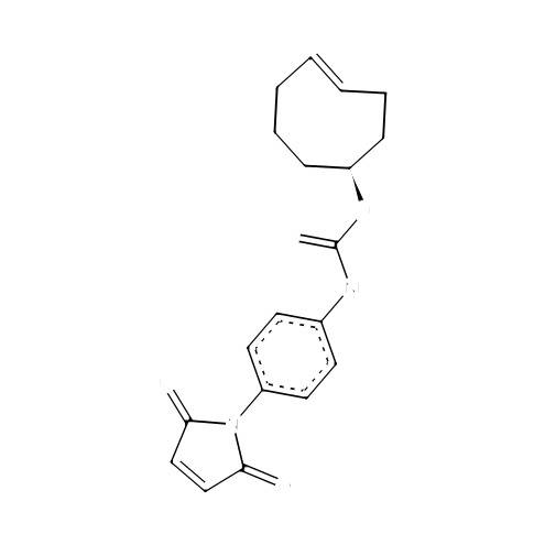 O=C(Nc1ccc(N2C(=O)C=CC2=O)cc1)O[C@@H]1CC/C=C/CCC1